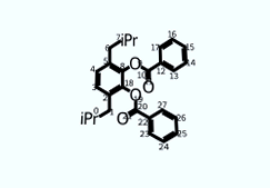 CC(C)Cc1ccc(CC(C)C)c(OC(=O)c2ccccc2)c1OC(=O)c1ccccc1